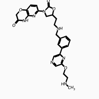 CNCCOc1cncc(-c2cccc(CNCCC3CN(c4ccc5c(n4)NC(=O)CO5)C(=O)O3)c2)n1